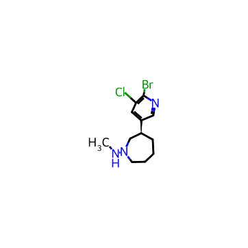 CNN1CCCC[C@H](c2cnc(Br)c(Cl)c2)C1